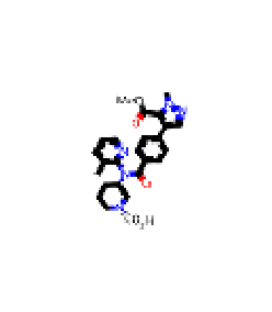 COC(=O)c1c(-c2ccc(C(=O)N(c3ncccc3C)[C@@H]3CCCN(C(=O)O)C3)cc2)cnn1C